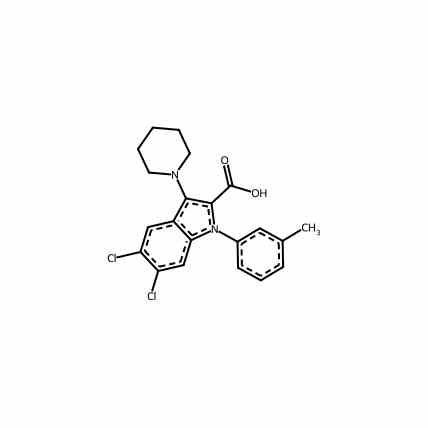 Cc1cccc(-n2c(C(=O)O)c(N3CCCCC3)c3cc(Cl)c(Cl)cc32)c1